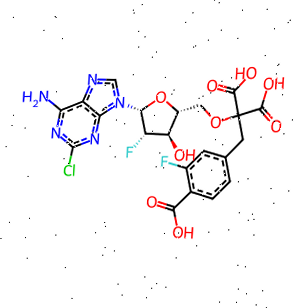 Nc1nc(Cl)nc2c1ncn2[C@@H]1O[C@H](COC(Cc2ccc(C(=O)O)c(F)c2)(C(=O)O)C(=O)O)[C@@H](O)[C@@H]1F